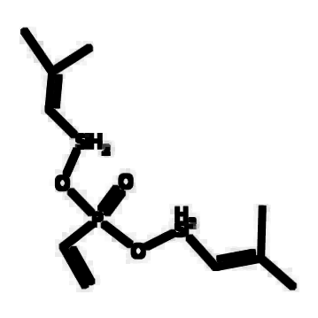 C=CP(=O)(O[SiH2]C=C(C)C)O[SiH2]C=C(C)C